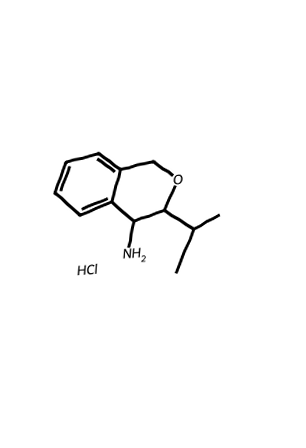 CC(C)C1OCc2ccccc2C1N.Cl